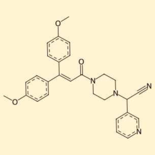 COc1ccc(C(=CC(=O)N2CCN(C(C#N)c3cccnc3)CC2)c2ccc(OC)cc2)cc1